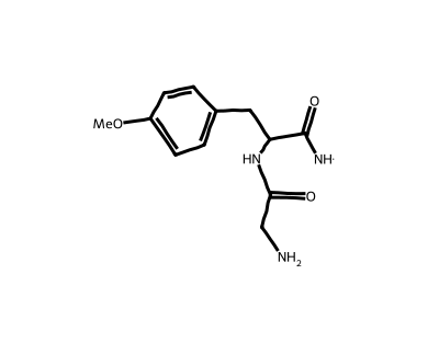 COc1ccc(CC(NC(=O)CN)C([NH])=O)cc1